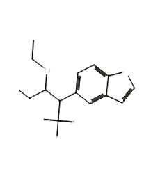 CCNC(CO)C(c1ccc2occc2c1)C(F)(F)F